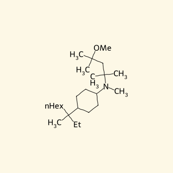 CCCCCCC(C)(CC)C1CCC(N(C)C(C)(C)CC(C)(C)OC)CC1